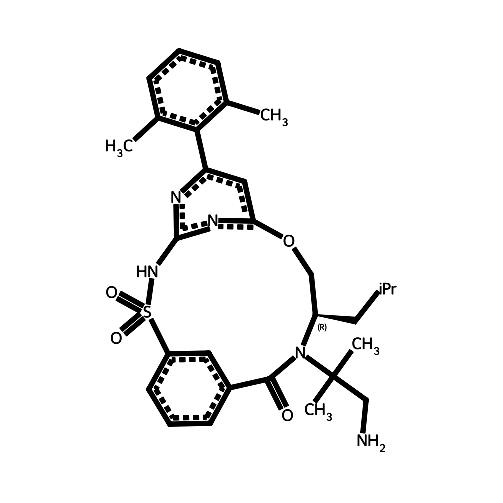 Cc1cccc(C)c1-c1cc2nc(n1)NS(=O)(=O)c1cccc(c1)C(=O)N(C(C)(C)CN)[C@H](CC(C)C)CO2